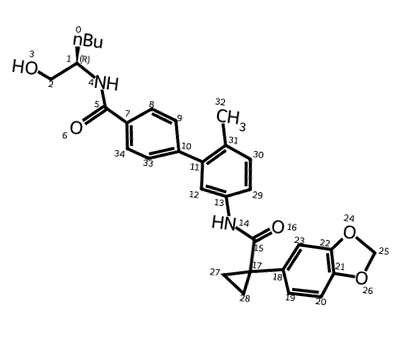 CCCC[C@H](CO)NC(=O)c1ccc(-c2cc(NC(=O)C3(c4ccc5c(c4)OCO5)CC3)ccc2C)cc1